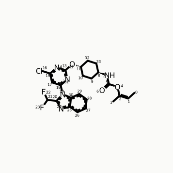 C/C=C(/C)OC(=O)N[C@H]1CC[C@H](Oc2nc(Cl)cc(-n3c(C(F)F)nc4ccccc43)n2)CC1